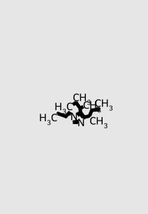 CCCCn1cnc(C(C)CCC)c1C(C)C(C)C